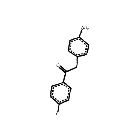 Nc1ccc(CC(=O)c2ccc(Cl)cc2)cc1